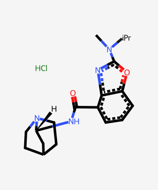 CC(C)N(C)c1nc2c(C(=O)N[C@@H]3CC4CCN3CC4)cccc2o1.Cl